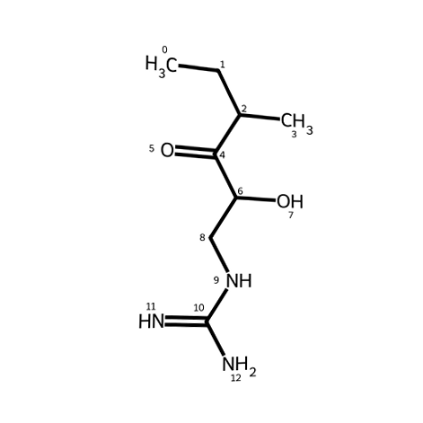 CCC(C)C(=O)C(O)CNC(=N)N